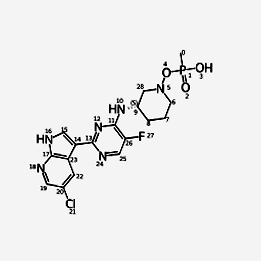 CP(=O)(O)ON1CCC[C@H](Nc2nc(-c3c[nH]c4ncc(Cl)cc34)ncc2F)C1